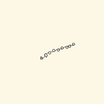 COCCOCOCCOCCOCCOCCOCc1ccc(Br)cc1